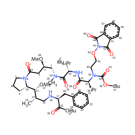 CC[C@H](C)[C@@H]([C@@H](CC(=O)N1CCC[C@H]1[C@H](OC)[C@@H](C)CN[C@@H](Cc1ccccc1)C(=O)OCC(C)C)OC)N(C)C(=O)[C@@H](NC(=O)[C@H](C(C)C)N(CCON1C(=O)c2ccccc2C1=O)C(=O)OC(C)(C)C)C(C)C